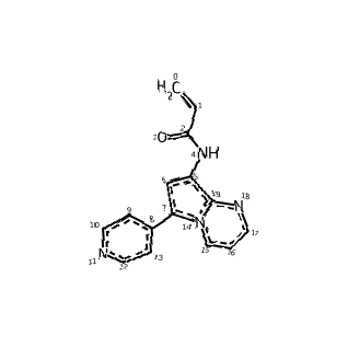 C=CC(=O)Nc1cc(-c2ccncc2)n2cccnc12